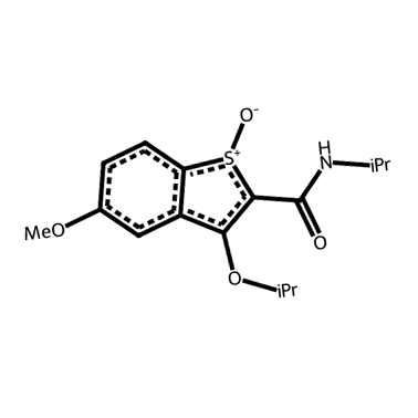 COc1ccc2c(c1)c(OC(C)C)c(C(=O)NC(C)C)[s+]2[O-]